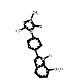 CCn1c(-c2ccc(-n3c(C)nn(C)c3=O)cc2)cc2cccc(C(=O)O)c21